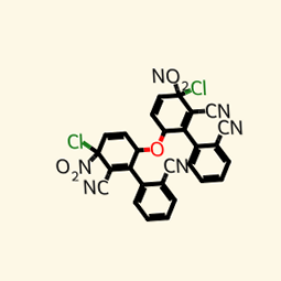 N#CC1=C(c2ccccc2C#N)C(OC2C=CC(Cl)([N+](=O)[O-])C(C#N)=C2c2ccccc2C#N)C=CC1(Cl)[N+](=O)[O-]